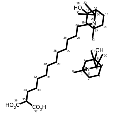 CC12CCC(C(O)C1)C(C)(C)N2.CC12CCC(C(O)C1)C(C)(C)N2CCCCCCCCCCCC(C(=O)O)C(=O)O